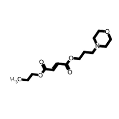 CCCOC(=O)C=CC(=O)OCCCN1CCOCC1